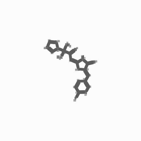 CC(C)(C(=O)/C=c1\[nH]c(=O)/c(=C/c2ccc(F)nc2)s1)n1cncn1